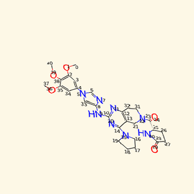 COc1cc(-n2cnc(Nc3nc4c(c(N5CCCC5)n3)CN(C(=O)[C@@H]3CCC(=O)N3)CC4)c2)cc(OC)c1OC